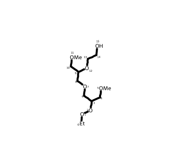 CCOOC(COC)COCC(COC)OCCO